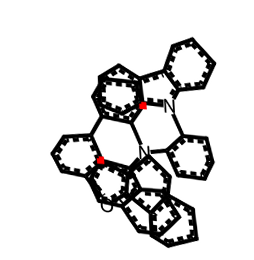 c1ccc(N(c2ccccc2-n2c3ccccc3c3ccccc32)c2cccc3ccccc23)c(-c2cccc3oc4c5ccccc5ccc4c23)c1